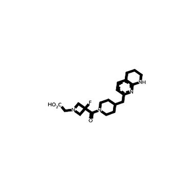 O=C(O)CN1CC(F)(C(=O)N2CCC(Cc3ccc4c(n3)NCCC4)CC2)C1